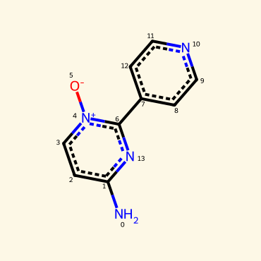 Nc1cc[n+]([O-])c(-c2ccncc2)n1